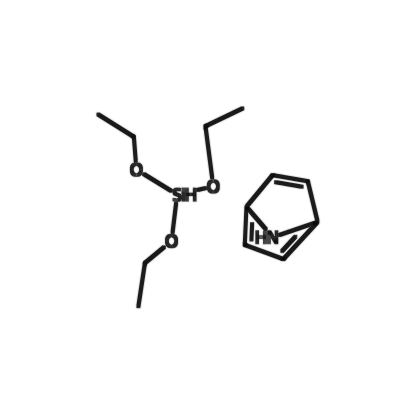 CCO[SiH](OCC)OCC.c1cc2ccc1[nH]2